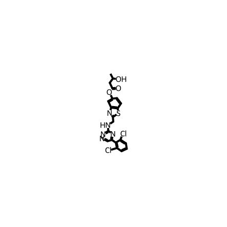 CC(O)CC(=O)Oc1ccc2sc(CNc3nncc(-c4c(Cl)cccc4Cl)n3)nc2c1